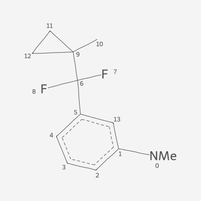 CNc1cccc(C(F)(F)C2(C)CC2)c1